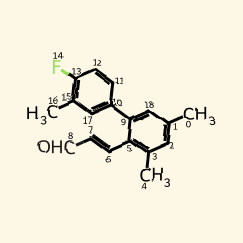 Cc1cc(C)c(C=CC=O)c(-c2ccc(F)c(C)c2)c1